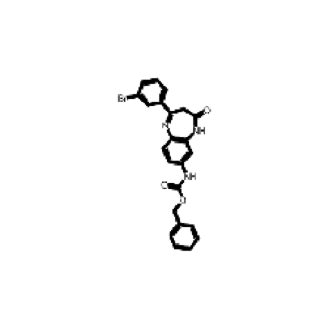 O=C1CC(c2cccc(Br)c2)=Nc2ccc(NC(=O)OCc3ccccc3)cc2N1